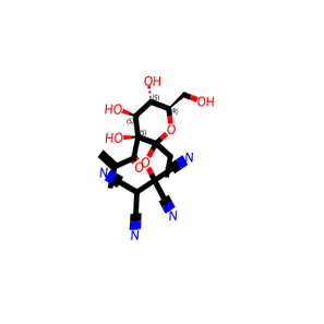 C=C(C)C(=O)[C@]1(O)[C@@H](O)[C@H](O)[C@@H](CO)OC1(CC)OC(C#N)(C#N)C(C#N)C#N